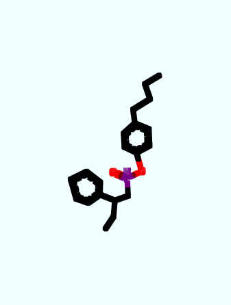 CCCCc1ccc(O[PH](=O)CC(CC)c2ccccc2)cc1